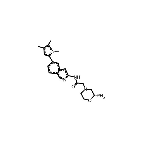 Cc1cc(-c2ccc3cnc(NC(=O)CN4CCO[C@@H](P)C4)cc3c2)n(C)c1C